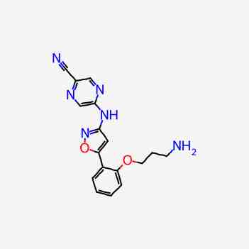 N#Cc1cnc(Nc2cc(-c3ccccc3OCCCN)on2)cn1